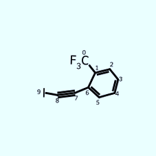 FC(F)(F)c1ccccc1C#CI